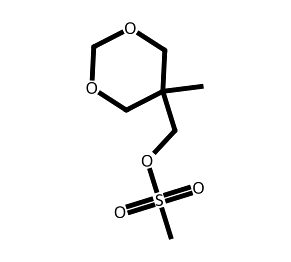 CC1(COS(C)(=O)=O)COCOC1